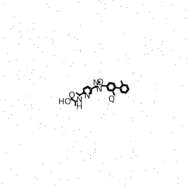 COCc1cc(-c2nc(-c3ccc(C(C)NC(C)C(=O)O)nc3)no2)ccc1-c1ccccc1C